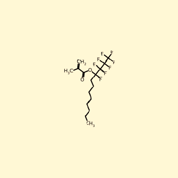 C=C(C)C(=O)OC(F)(CCCCCCCC)C(F)(F)C(F)(F)C(F)(F)F